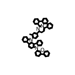 Cc1cc(C2=NC(c3ccccc3-c3ccccc3)=NC(c3ccccc3)=CC2)ccc1-n1c2ccccc2c2ccc3c(c4ccccc4n3-c3cccc4c3oc3ccccc34)c21